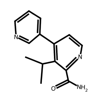 CC(C)c1c(-c2cccnc2)ccnc1C(N)=O